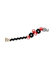 CCC(C)Oc1ccc(OC(=O)c2ccc(OCCCCCCCCCCCCBr)cc2)cc1